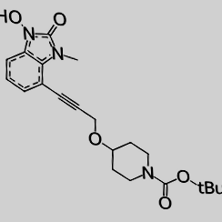 Cn1c(=O)n(O)c2cccc(C#CCOC3CCN(C(=O)OC(C)(C)C)CC3)c21